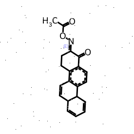 CC(=O)O/N=C1\CCc2c(ccc3c2C=CC2C=CC=CC32)C1=O